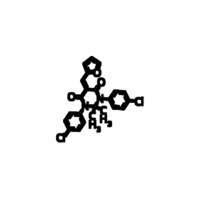 CC1(C)N(c2ccc(Cl)cc2)C(=O)C(=Cc2ccco2)C(=O)N1c1ccc(Cl)cc1